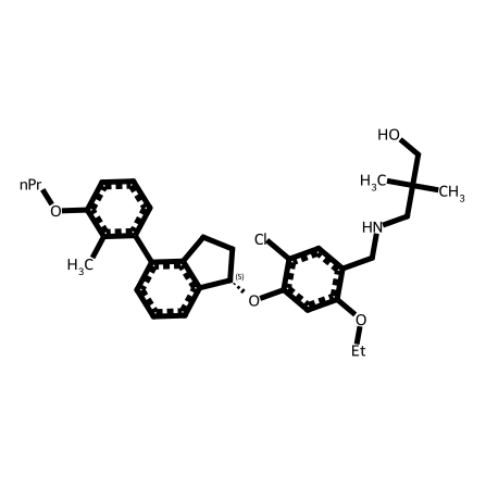 CCCOc1cccc(-c2cccc3c2CC[C@@H]3Oc2cc(OCC)c(CNCC(C)(C)CO)cc2Cl)c1C